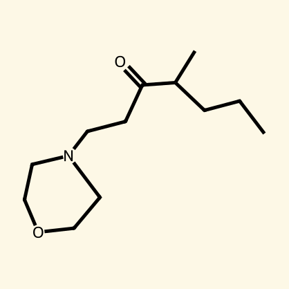 CCCC(C)C(=O)CCN1CCOCC1